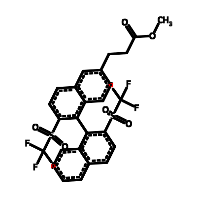 COC(=O)CCc1ccc2c(-c3c(S(=O)(=O)C(F)(F)F)ccc4ccccc34)c(S(=O)(=O)C(F)(F)F)ccc2c1